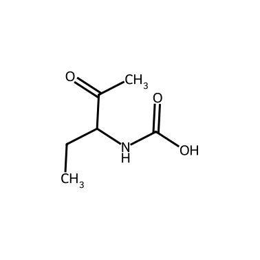 CCC(NC(=O)O)C(C)=O